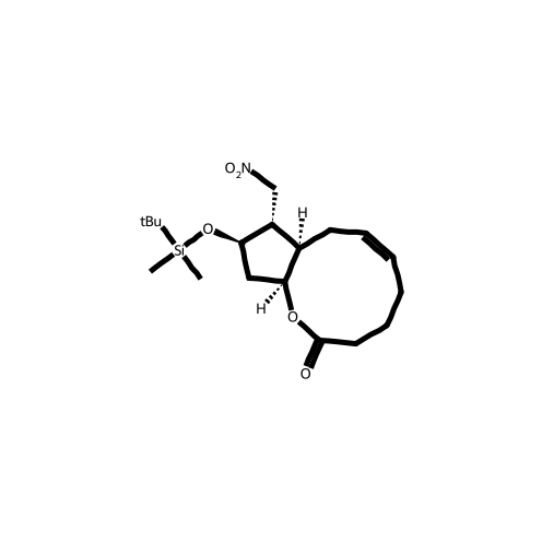 CC(C)(C)[Si](C)(C)O[C@@H]1C[C@@H]2OC(=O)CCC/C=C\C[C@@H]2[C@H]1C[N+](=O)[O-]